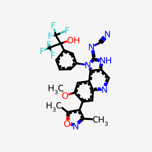 COc1cc2c(cc1-c1c(C)noc1C)ncc1[nH]/c(=N\C#N)n(-c3cccc(C(O)(C(F)(F)F)C(F)(F)F)c3)c12